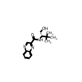 CC(C)(C)[C@@H](CO)NC(=O)c1cnc2ccccc2n1